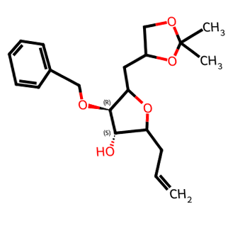 C=CCC1OC(CC2COC(C)(C)O2)[C@H](OCc2ccccc2)[C@H]1O